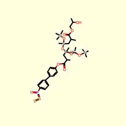 CC(O)COC(=O)C(C)C[Si](C)(O[Si](C)(C)C)O[Si](C)(CC(C)C(=O)Oc1ccc(-c2ccc(P(=O)=S=S)cc2)cc1)O[SiH](C)O[Si](C)(C)C